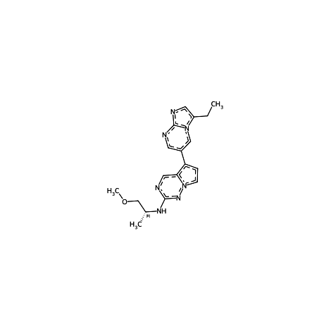 CCc1cnc2ncc(-c3ccn4nc(N[C@H](C)COC)ncc34)cn12